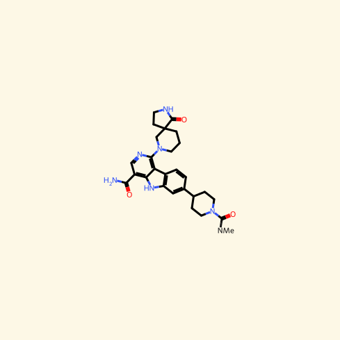 CNC(=O)N1CCC(c2ccc3c(c2)[nH]c2c(C(N)=O)cnc(N4CCCC5(CCNC5=O)C4)c23)CC1